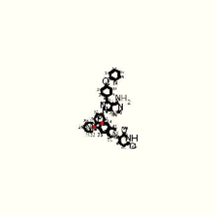 Nc1ncnc2c1c(-c1ccc(Oc3ccccc3)cc1)nn2C1CCC(CN2C3CC2CN(c2cc4c(cc2F)CN(C2CCC(=O)NC2=O)C4)C3)CC1